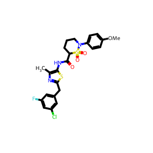 COc1ccc(N2CCCC(C(=O)Nc3sc(Cc4cc(F)cc(Cl)c4)nc3C)S2(=O)=O)cc1